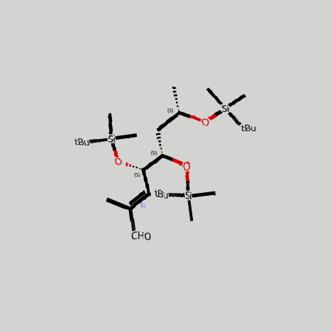 C/C(C=O)=C\[C@H](O[Si](C)(C)C(C)(C)C)[C@H](C[C@H](C)O[Si](C)(C)C(C)(C)C)O[Si](C)(C)C(C)(C)C